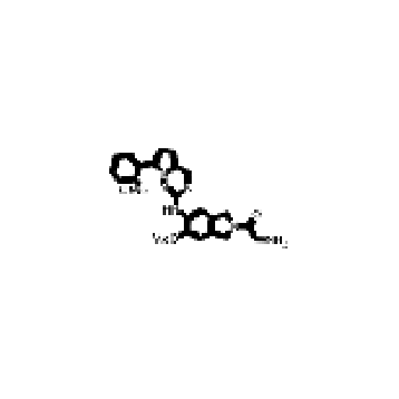 COc1cc2c(cc1Nc1ncc3ccc(-c4ccccc4OC)n3n1)CN(C(=O)CN)C2